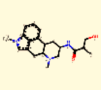 CCC(CO)C(=O)NC1CC2c3cccc4c3c(cn4C(F)(F)F)CC2N(C)C1